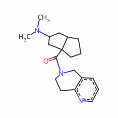 CN(C)C1CC2CCCC2(C(=O)N2CCc3ncccc3C2)C1